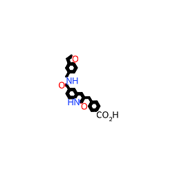 O=C(O)c1ccc(Cc2cc3cc(C(=O)NCc4ccc5occc5c4)ccc3[nH]c2=O)cc1